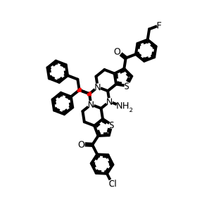 NN(C1c2scc(C(=O)c3ccc(Cl)cc3)c2CCN1CCCc1ccccc1)C1c2scc(C(=O)c3cccc(CF)c3)c2CCN1CCc1ccccc1